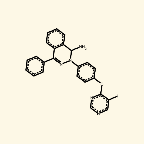 NC1c2ccccc2C(c2ccccc2)=NN1c1ccc(Oc2ncncc2I)cc1